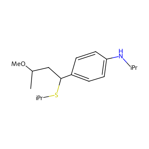 COC(C)CC(SC(C)C)c1ccc(NC(C)C)cc1